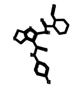 O=CC1CCCCC1C(=O)Nc1sc2c(c1C(=O)Nc1ccc(Cl)cc1)CSC2